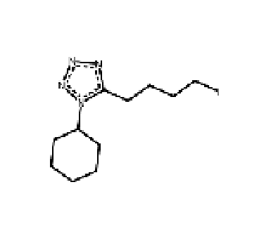 ICCCCc1nnnn1C1CCCCC1